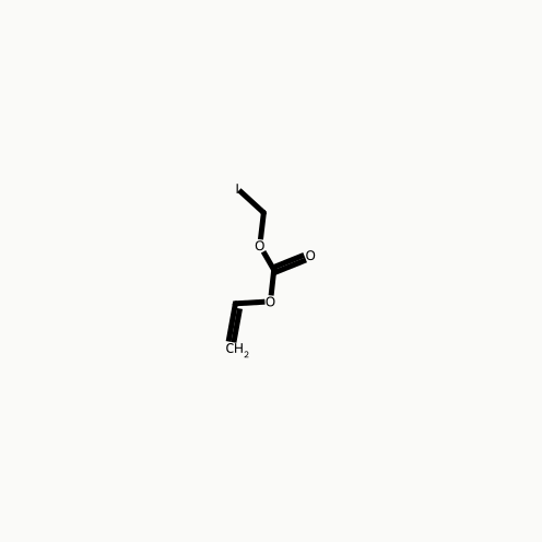 C=COC(=O)OCI